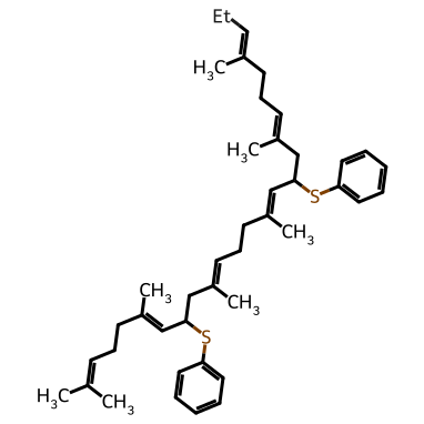 CC/C=C(\C)CC/C=C(\C)CC(/C=C(\C)CC/C=C(\C)CC(/C=C(\C)CCC=C(C)C)Sc1ccccc1)Sc1ccccc1